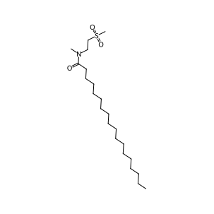 CCCCCCCCCCCCCCCCCC(=O)N(C)CCS(C)(=O)=O